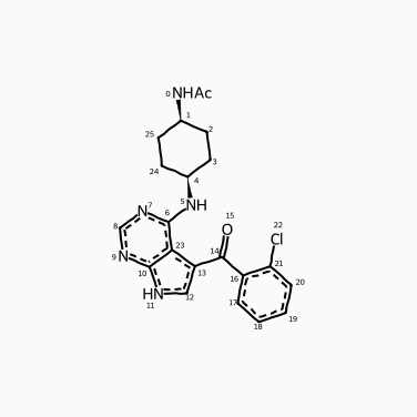 CC(=O)N[C@H]1CC[C@@H](Nc2ncnc3[nH]cc(C(=O)c4ccccc4Cl)c23)CC1